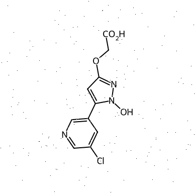 O=C(O)COc1cc(-c2cncc(Cl)c2)n(O)n1